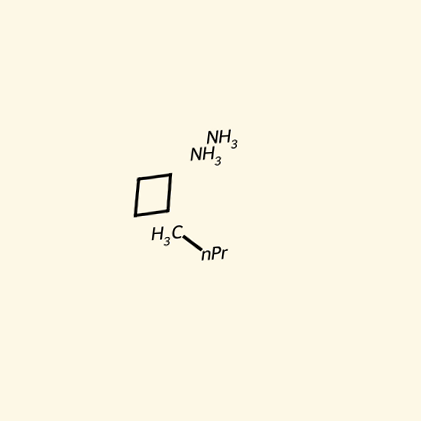 C1CCC1.CCCC.N.N